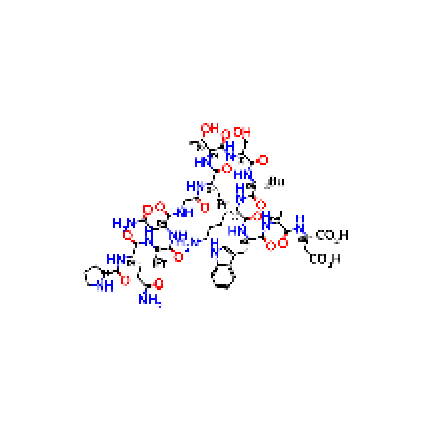 CC[C@H](C)[C@H](NC(=O)[C@H](CO)NC(=O)[C@@H](NC(=O)[C@H](CC(C)C)NC(=O)CNC(=O)[C@H](CC(N)=O)NC(=O)[C@@H](NC(=O)[C@H](CCC(N)=O)NC(=O)[C@@H]1CCCN1)C(C)C)[C@@H](C)O)C(=O)N[C@@H](CCCCN)C(=O)N[C@@H](Cc1c[nH]c2ccccc12)C(=O)N[C@@H](C)C(=O)N[C@@H](CC(=O)O)C(=O)O